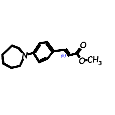 COC(=O)/C=C/c1ccc(N2CCCCCC2)cc1